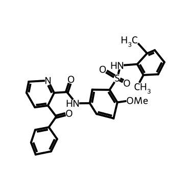 COc1ccc(NC(=O)c2ncccc2C(=O)c2ccccc2)cc1S(=O)(=O)Nc1c(C)cccc1C